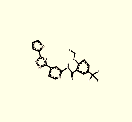 O=C(Nc1cc(-c2nnc(-c3ccco3)o2)ccn1)c1cc(C(F)(F)F)ccc1OCF